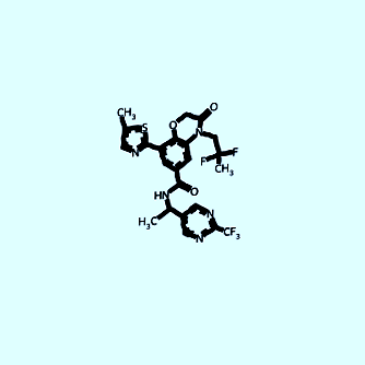 Cc1cnc(-c2cc(C(=O)NC(C)c3cnc(C(F)(F)F)nc3)cc3c2OCC(=O)N3CC(C)(F)F)s1